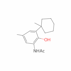 CC(=O)Nc1cc(C)cc(C2(C)CCCCC2)c1O